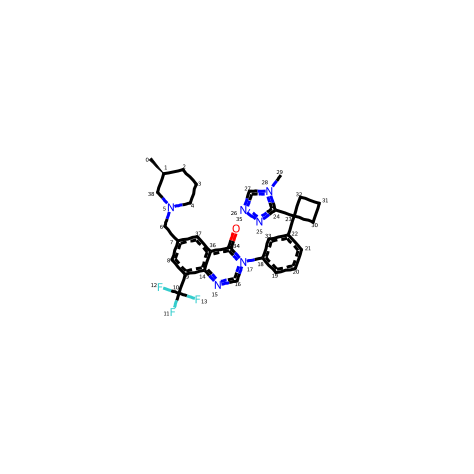 C[C@H]1CCCN(Cc2cc(C(F)(F)F)c3ncn(-c4cccc(C5(c6nncn6C)CCC5)c4)c(=O)c3c2)C1